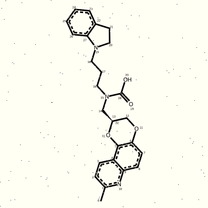 Cc1ccc2c3c(ccc2n1)OC[C@H](CN(CCCN1CCc2ccccc21)C(=O)O)O3